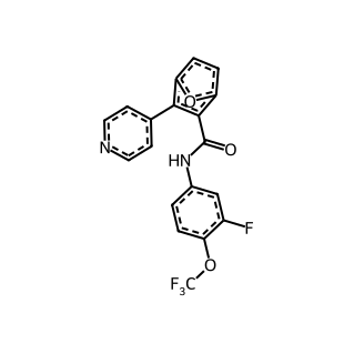 O=C(Nc1ccc(OC(F)(F)F)c(F)c1)c1c(-c2ccncc2)c2ccc1o2